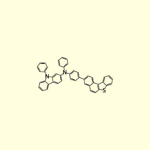 c1ccc(N(c2ccc(-c3ccc4c(ccc5sc6ccccc6c54)c3)cc2)c2ccc3c4ccccc4n(-c4ccccc4)c3c2)cc1